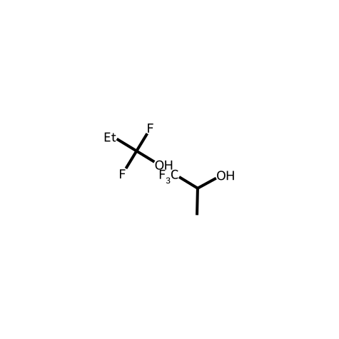 CC(O)C(F)(F)F.CCC(O)(F)F